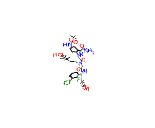 C[C@H](CCC(C)(C)[Si](C)(C)O)N(CC(=O)N[C@@H](CCC(C)(C)[Si](C)(C)O)c1cccc(Cl)c1F)C(=O)Cn1nc(C(N)=O)c2cc(NC(=O)OC(C)(C)C)ccc21